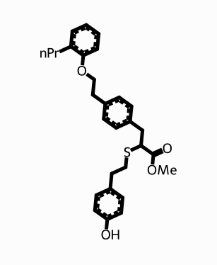 CCCc1ccccc1OCCc1ccc(CC(SCCc2ccc(O)cc2)C(=O)OC)cc1